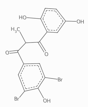 CC(C(=O)c1cc(Br)c(O)c(Br)c1)C(=O)c1cc(O)ccc1O